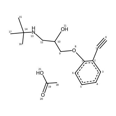 C#Cc1ccccc1OCC(O)CNC(C)(C)C.CC(=O)O